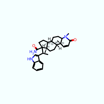 CC(c1c[nH]c2ccccc12)C1(C(N)=O)CC[C@H]2[C@@H]3CCC4N(C)C(=O)C=C[C@]4(C)[C@@H]3CC[C@@]21C